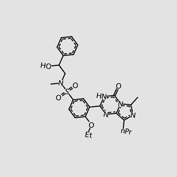 CCCc1nc(C)n2c(=O)[nH]c(-c3cc(S(=O)(=O)N(C)CC(O)c4ccccc4)ccc3OCC)nc12